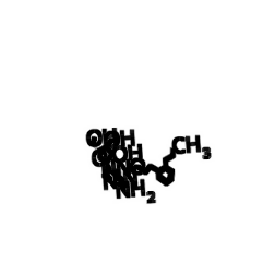 CCCCc1ccccc1CCOc1nc(N)c2ncn([C@@H]3O[C@H](CO)C(O)C3O)c2n1